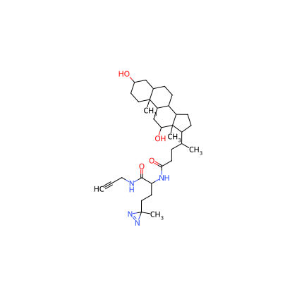 C#CCNC(=O)C(CCC1(C)N=N1)NC(=O)CCC(C)C1CCC2C3CCC4CC(O)CCC4(C)C3CC(O)C12C